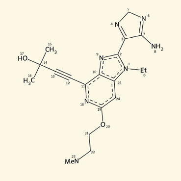 CCn1c(C2=NCN=C2N)nc2c(C#CC(C)(C)O)nc(OCCNC)cc21